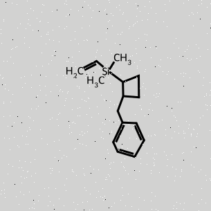 C=C[Si](C)(C)C1CCC1Cc1ccccc1